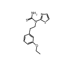 CCOc1cccc(CCN(C(N)=S)c2nccs2)c1